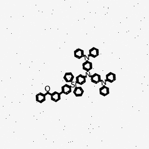 O=C(c1ccccc1)c1cccc(-c2ccc([Si](c3ccccc3)(c3ccccc3)c3ccc(N(c4ccc(N(c5ccccc5)c5ccccc5)cc4)c4ccc(N(c5ccccc5)c5ccccc5)cc4)cc3)cc2)c1